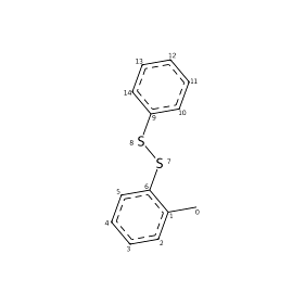 Cc1ccccc1SSc1ccccc1